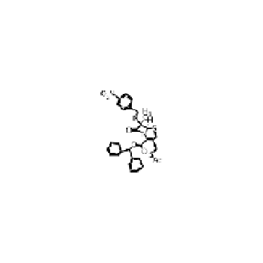 CC(=O)SCC1=C(C(=O)OC(c2ccccc2)c2ccccc2)N2C(=O)[C@](C)(N=Cc3ccc([N+](=O)[O-])cc3)[C@H]2SC1